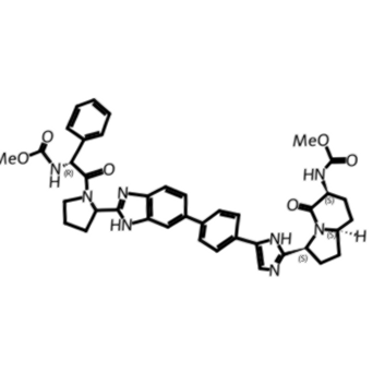 COC(=O)N[C@H]1CC[C@H]2CC[C@@H](c3ncc(-c4ccc(-c5ccc6nc(C7CCCN7C(=O)[C@H](NC(=O)OC)c7ccccc7)[nH]c6c5)cc4)[nH]3)N2C1=O